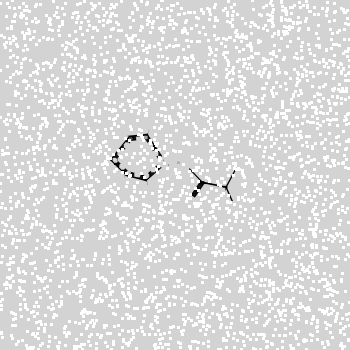 O=C(O[n+]1ccccc1)C(Cl)Cl